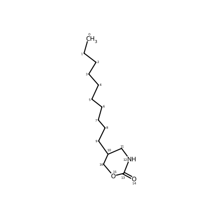 CCCCCCCCCCC1CNC(=O)OC1